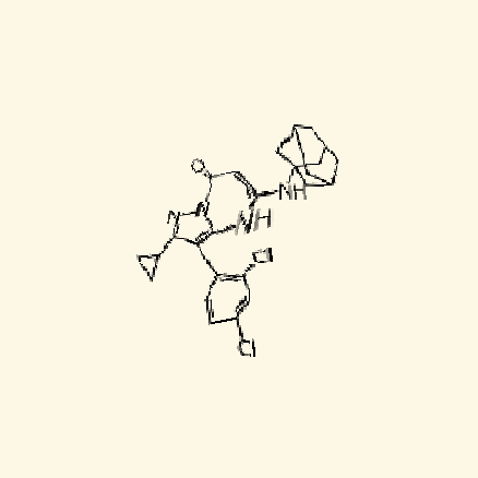 O=c1cc(NC23CC4CC(CC(C4)C2)C3)[nH]c2c(-c3ccc(Cl)cc3Cl)c(C3CC3)nn12